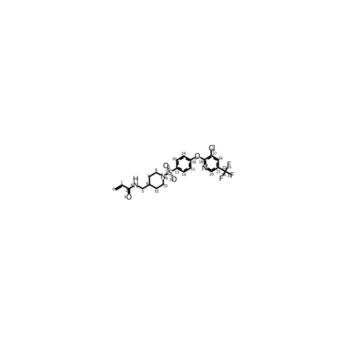 C=CC(=O)NCC1CCN(S(=O)(=O)c2ccc(Oc3ncc(C(F)(F)F)cc3Cl)cc2)CC1